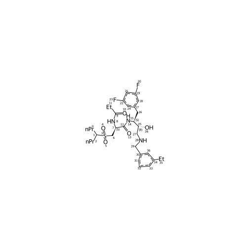 CCCC(CCC)S(=O)(=O)C[C@@H](NC(=O)CC)C(=O)N[C@@H](Cc1cc(F)cc(F)c1)[C@H](O)CNCc1cccc(CC)c1